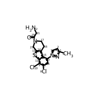 Cc1ccn(-c2cc(Cl)c(Cl)c3sc4c(c23)CCN(C(=O)CN)C4)n1